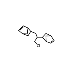 ClCC(CC1CC2C=CC1C2)C1CC2C=CC1C2